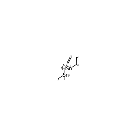 C=C.C[CH2][SnH].[CH3][Sn][CH3]